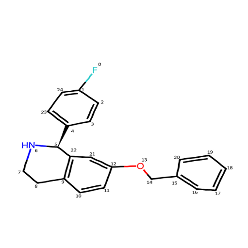 Fc1ccc([C@@H]2NCCc3ccc(OCc4ccccc4)cc32)cc1